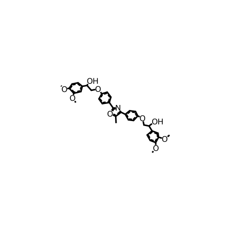 COc1ccc(C(O)COc2ccc(-c3nc(-c4ccc(OCC(O)c5ccc(OC)c(OC)c5)cc4)c(C)o3)cc2)cc1OC